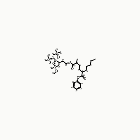 CCCCCC(CCC(C)C(=O)OCCC[Si](O[Si](C)(C)C)(O[Si](C)(C)C)O[Si](C)(C)OC)C(=O)Oc1ccccc1